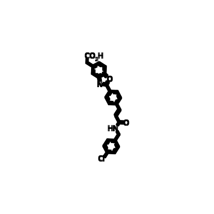 O=C(O)Cc1ccc2oc(-c3ccc(C=CC(=O)NCc4ccc(Cl)cc4)cc3)nc2c1